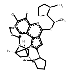 CC(=O)N1CCC[C@@H]1c1cc2c(O[C@@H](C)[C@@H]3CCCN3C)nc3c(F)c(Cl)ncc3c2n1[C@H]1[C@@H]2C[C@H]1N(C(=O)OC(C)(C)C)C2